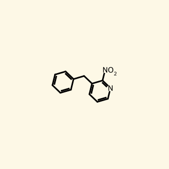 O=[N+]([O-])c1ncccc1Cc1ccccc1